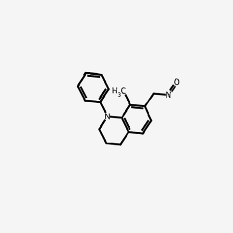 Cc1c(CN=O)ccc2c1N(c1ccccc1)CCC2